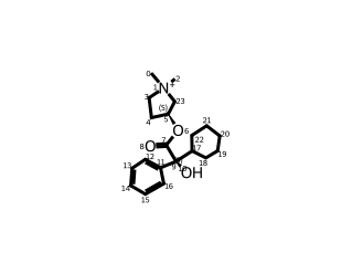 C[N+]1(C)CC[C@H](OC(=O)[C@@](O)(c2ccccc2)C2CCCCC2)C1